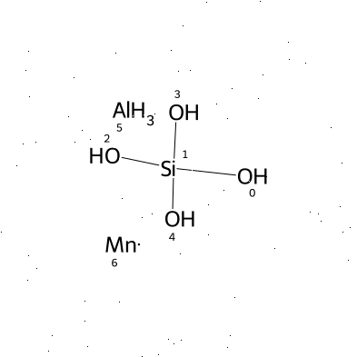 O[Si](O)(O)O.[AlH3].[Mn]